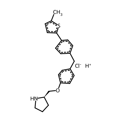 Cc1ccc(-c2ccc(Cc3ccc(OC[C@H]4CCCN4)cc3)cc2)s1.[Cl-].[H+]